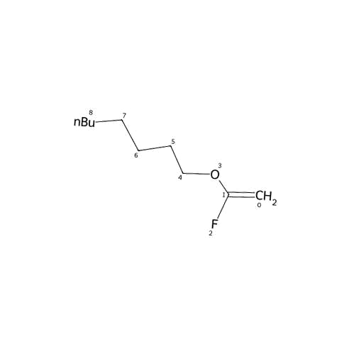 C=C(F)OCCCCCCCC